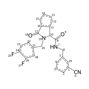 N#Cc1cccc(CNC(=O)C2c3ccccc3C(=O)N2Cc2ccc(F)c(F)c2)c1